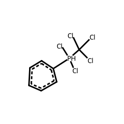 ClC(Cl)(Cl)[PH](Cl)(Cl)c1ccccc1